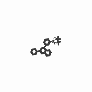 CC1(C)OB(c2cccc(-c3cc(-c4ccccc4)cc4ccccc34)c2)OC1(C)C